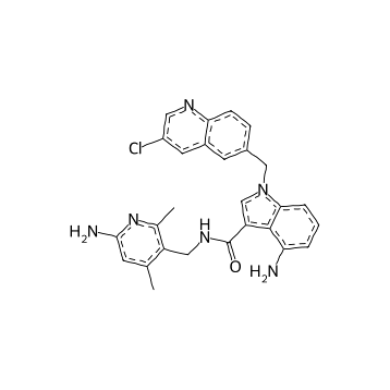 Cc1cc(N)nc(C)c1CNC(=O)c1cn(Cc2ccc3ncc(Cl)cc3c2)c2cccc(N)c12